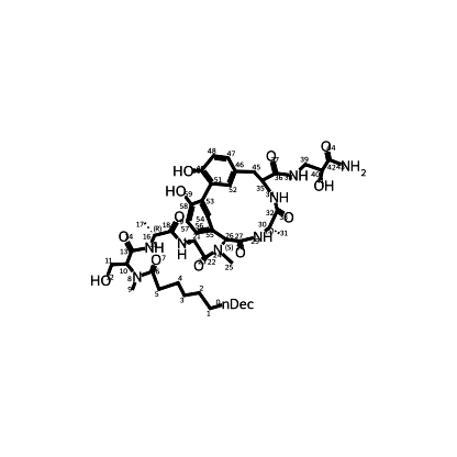 CCCCCCCCCCCCCCCC(=O)N(C)C(CO)C(=O)N[C@H](C)C(=O)NCC(=O)N(C)[C@@H]1C(=O)N[C@@H](C)C(=O)NC(C(=O)NCC(O)C(N)=O)Cc2ccc(O)c(c2)-c2cc1ccc2O